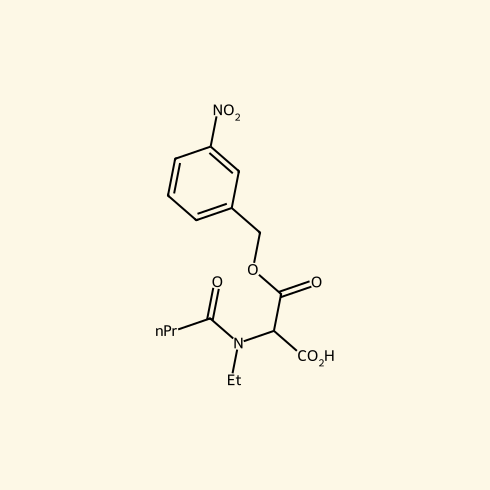 CCCC(=O)N(CC)C(C(=O)O)C(=O)OCc1cccc([N+](=O)[O-])c1